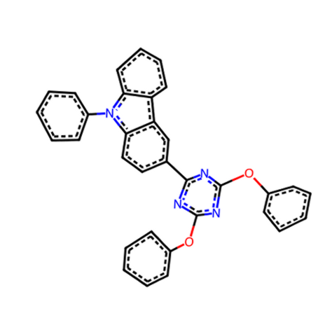 c1ccc(Oc2nc(Oc3ccccc3)nc(-c3ccc4c(c3)c3ccccc3n4-c3ccccc3)n2)cc1